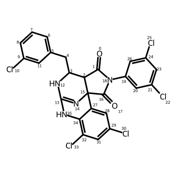 O=C1C2C(Cc3cccc(Cl)c3)NC3=NC2(C(=O)N1c1cc(Cl)cc(Cl)c1)c1cc(Cl)cc(Cl)c1N3